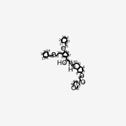 O=C(COc1ccc2c(c1)C[C@@H](NC[C@@H](O)c1ccc(OCc3ccccc3)c(CCOCc3ccccc3)c1)CC2)N1CCOCC1